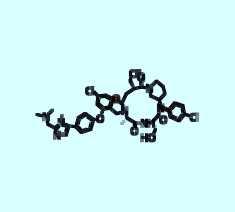 C[C@H]1C(=O)N[C@@H](CO)C(=O)N(C)[C@@]2(Cc3ccc(Cl)cc3)CCCN(C2)C(=O)[C@H](CC(F)(F)F)CC(=O)N1Cc1ccc(Cl)cc1Oc1ccc(-c2cnc(CN(C)C)n2C)cc1